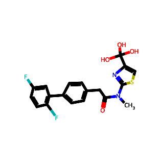 CN(C(=O)Cc1ccc(-c2cc(F)ccc2F)cc1)c1nc(C(O)(O)O)cs1